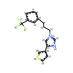 FC(F)(F)c1cccc(CCCn2cnc(-c3ccsc3)c2)c1